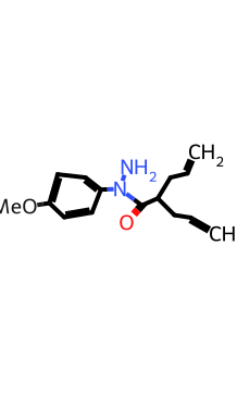 C=CCC(CC=C)C(=O)N(N)c1ccc(OC)cc1